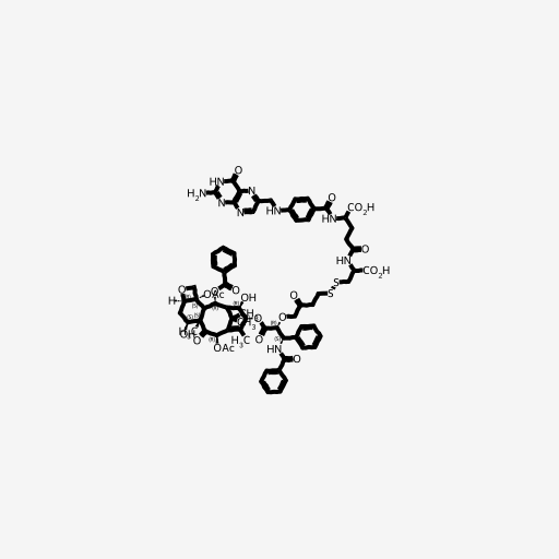 CC(=O)O[C@H]1C(=O)[C@@]2(C)C([C@H](OC(=O)c3ccccc3)C3[C@@H](O)[C@H](OC(=O)[C@H](OCC(=O)CCSSCC(NC(=O)CCC(NC(=O)c4ccc(NCc5cnc6nc(N)[nH]c(=O)c6n5)cc4)C(=O)O)C(=O)O)[C@@H](NC(=O)c4ccccc4)c4ccccc4)C(C)=C1C3(C)C)[C@]1(OC(C)=O)CO[C@@H]1C[C@@H]2O